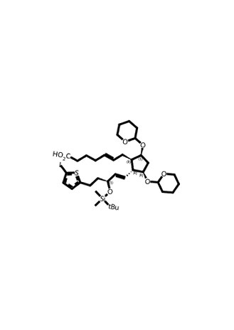 CC(C)(C)[Si](C)(C)O[C@H](C=C[C@@H]1[C@@H](CC=CCCCC(=O)O)[C@@H](OC2CCCCO2)C[C@H]1OC1CCCCO1)CCc1ccc(I)s1